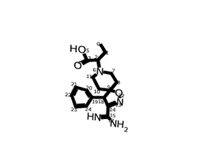 CCC(C(=O)O)N1CCC2(CC1)ON=C(C(=N)N)C2c1ccccc1